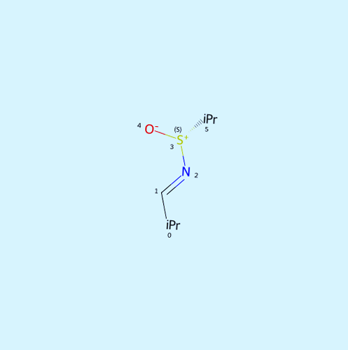 CC(C)C=N[S@+]([O-])C(C)C